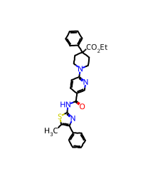 CCOC(=O)C1(c2ccccc2)CCN(c2ccc(C(=O)Nc3nc(-c4ccccc4)c(C)s3)cn2)CC1